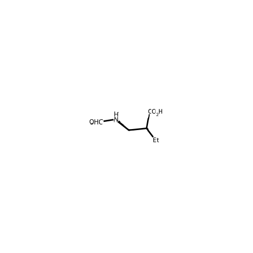 CCC(CNC=O)C(=O)O